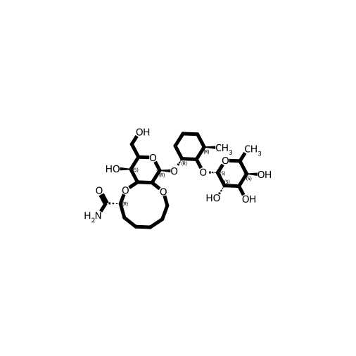 CC1O[C@@H](OC2[C@H](C)CCC[C@H]2O[C@@H]2OC(CO)[C@H](O)C3O[C@@H](C(N)=O)CCCCCOC32)[C@@H](O)C(O)[C@@H]1O